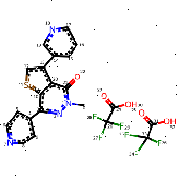 Cn1nc(-c2ccncc2)c2scc(-c3cccnc3)c2c1=O.O=C(O)C(F)(F)F.O=C(O)C(F)(F)F